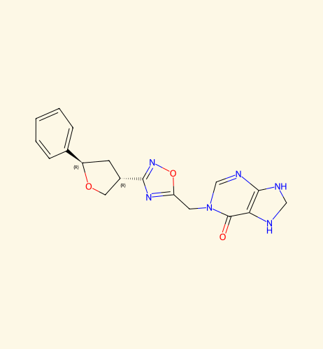 O=c1c2c(ncn1Cc1nc([C@@H]3CO[C@@H](c4ccccc4)C3)no1)NCN2